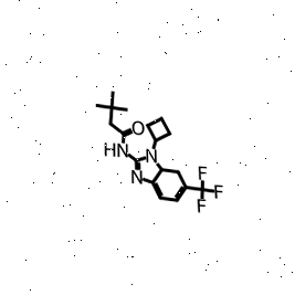 CC(C)(C)CC(=O)NC1=NC2=CC=C(C(F)(F)F)CC2N1C1CCC1